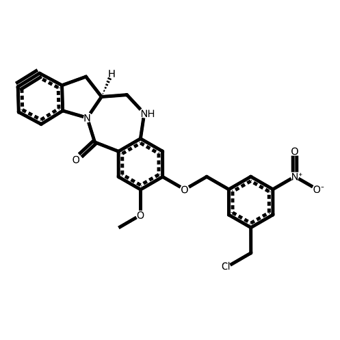 COc1cc2c(cc1OCc1cc(CCl)cc([N+](=O)[O-])c1)NC[C@@H]1Cc3c#cccc3N1C2=O